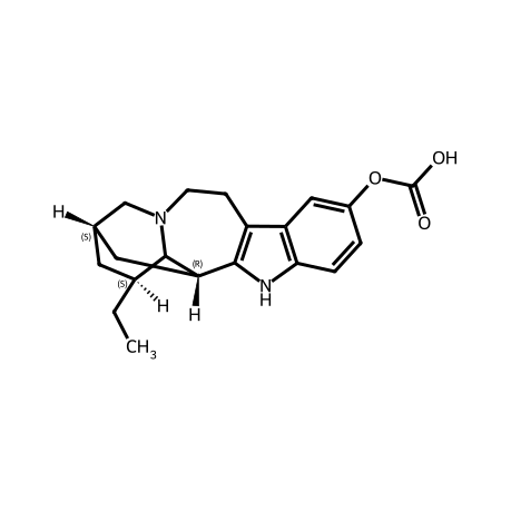 CC[C@H]1C[C@H]2C[C@H]3c4[nH]c5ccc(OC(=O)O)cc5c4CCN(C2)C13